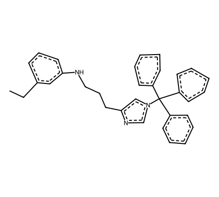 CCc1cccc(NCCCc2cn(C(c3ccccc3)(c3ccccc3)c3ccccc3)cn2)c1